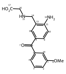 COc1cccc(C(=O)c2ccc(N)c(CNCC(=O)O)c2)c1